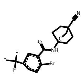 N#CC12CCC(NC(=O)c3cc(C(F)(F)F)ccc3Br)(CC1)CC2